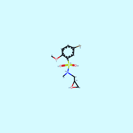 COc1ccc(Br)cc1S(=O)(=O)N(C)CC1CO1